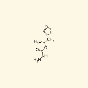 CC(C)OC(=O)NN.c1ccoc1